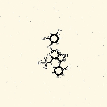 CC(C)S(=O)(=O)Cc1nc(Oc2ccc(F)cc2F)nc2[nH]nc(-c3ccccc3Cl)c12